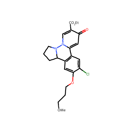 CCOC(=O)c1cn2c(cc1=O)-c1cc(Cl)c(OCCCOC)cc1C1CCCN12